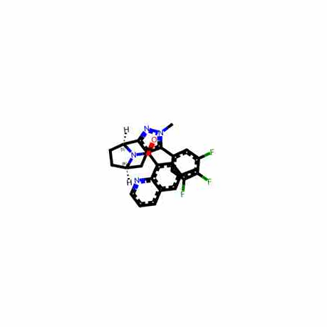 Cc1cc(C(=O)N2[C@@H]3CC[C@H]2c2nn(C)c(-c4cc(F)c(F)c(F)c4)c2C3)c2ncccc2c1